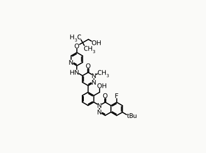 Cn1nc(-c2cccc(-n3ncc4cc(C(C)(C)C)cc(F)c4c3=O)c2CO)cc(Nc2ccc(OC(C)(C)CO)cn2)c1=O